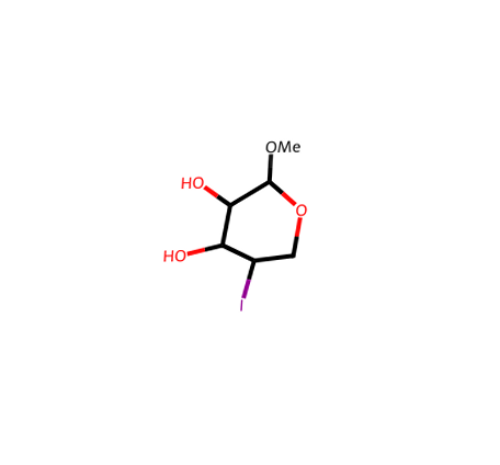 COC1OCC(I)C(O)C1O